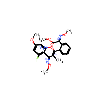 CO/N=C(\C(C)=C(/ON)c1ccccc1/C(=N\OC)C(=O)OC)c1ccc(OC)cc1F